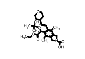 CCOC(=O)C(OC(C)(C)C)c1c(C)c2c(c(C)c1/C=C/C1CCOCC1)CN(C(=O)O)C2